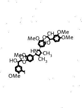 COc1ccc([C@@H](O)[C@@H](C)Oc2ccc([C@H]3N[C@H](c4ccc(O[C@H](C)[C@H](O)c5ccc(OC)c(OC)c5)c(OC)c4)[C@H](C)[C@H]3C)cc2OC)cc1I